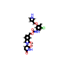 Cc1c(Cl)cc(NC(=O)OCc2ccc3c(c2)C(=O)N(C2CCC(=O)NC2=O)C3)cc1OCC1CCNC1